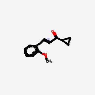 COc1ccccc1/C=C/C(=O)C1CC1